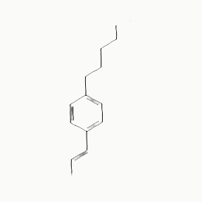 CC=Cc1ccc(CCCCCCCCCCCC)cc1